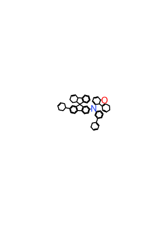 C1=CCCC(c2cccc(N(C3=CC=CC4OC5=C(C=CCC5)C34)c3ccc4c(c3)C3(c5cc(C6CC=CCC6)ccc5-4)c4ccccc4C4C=CCCC43)c2)=C1